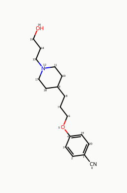 N#Cc1ccc(OCCCC2CCN(CCCO)CC2)cc1